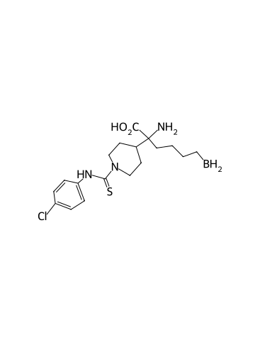 BCCCCC(N)(C(=O)O)C1CCN(C(=S)Nc2ccc(Cl)cc2)CC1